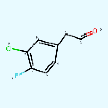 O=CCc1ccc(F)c(Cl)c1